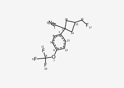 N#CC1(c2ccc(OC(F)(F)F)cc2)CC(CF)C1